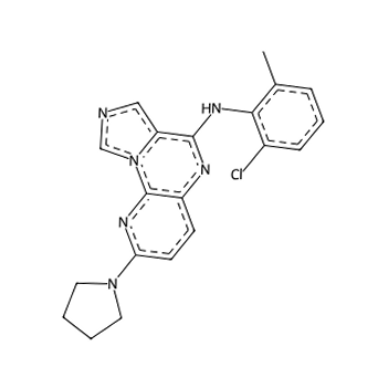 Cc1cccc(Cl)c1Nc1nc2ccc(N3CCCC3)nc2n2cncc12